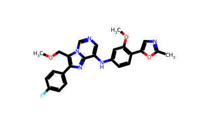 COCc1c(-c2ccc(F)cc2)nc2c(Nc3ccc(-c4cnc(C)o4)c(OC)c3)cncn12